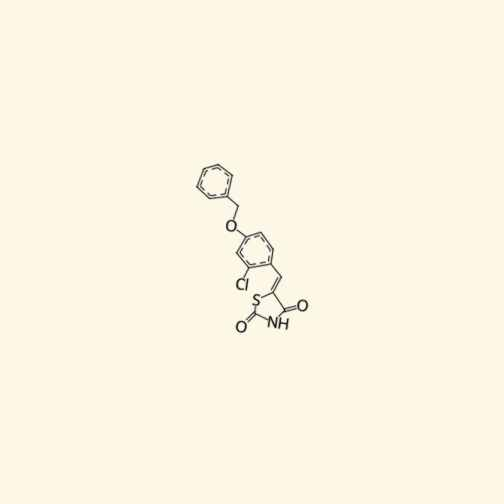 O=C1NC(=O)C(=Cc2ccc(OCc3ccccc3)cc2Cl)S1